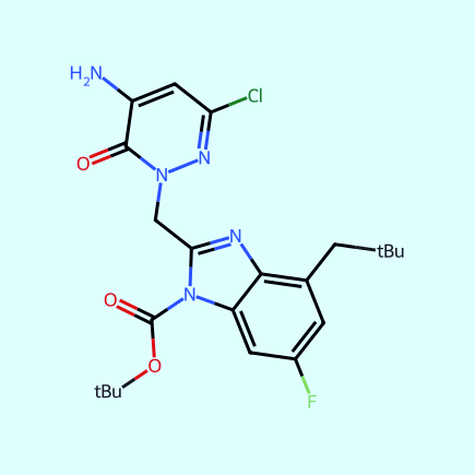 CC(C)(C)Cc1cc(F)cc2c1nc(Cn1nc(Cl)cc(N)c1=O)n2C(=O)OC(C)(C)C